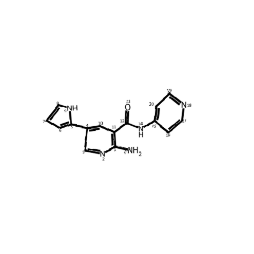 Nc1ncc(-c2ccc[nH]2)cc1C(=O)Nc1ccncc1